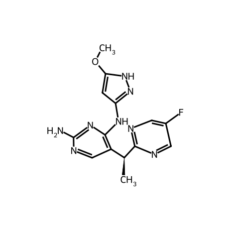 COc1cc(Nc2nc(N)ncc2[C@H](C)c2ncc(F)cn2)n[nH]1